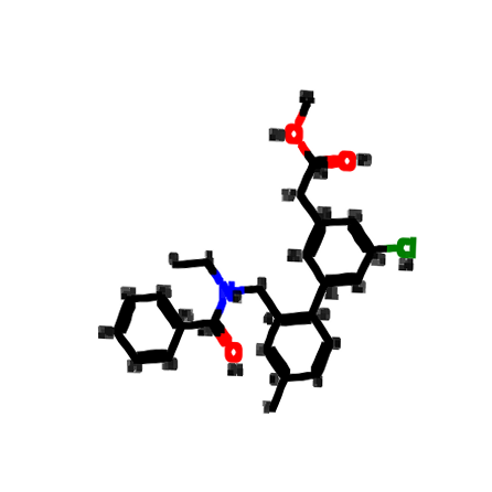 CCN(Cc1cc(C)ccc1-c1cc(Cl)cc(CC(=O)OC)c1)C(=O)c1ccccc1